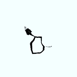 C[C@@H]1CCC[C@@H](C#N)C1